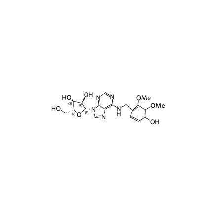 COc1c(O)ccc(CNc2ncnc3c2ncn3[C@@H]2O[C@H](CO)[C@@H](O)[C@H]2O)c1OC